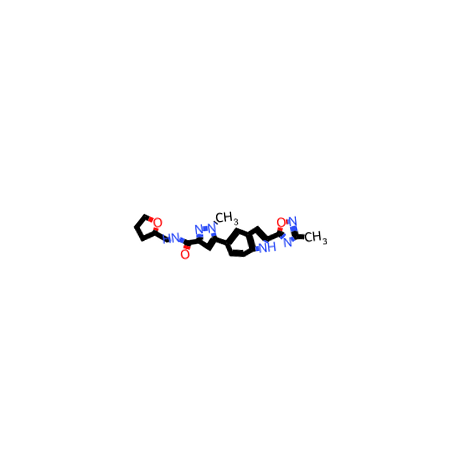 Cc1noc(-c2cc3cc(-c4cc(C(=O)NCC5CCCO5)nn4C)ccc3[nH]2)n1